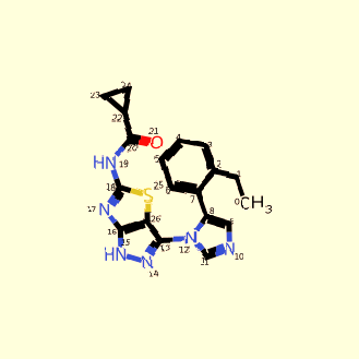 CCc1ccccc1-c1cncn1-c1n[nH]c2nc(NC(=O)C3CC3)sc12